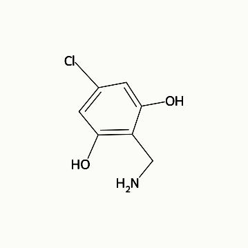 NCc1c(O)cc(Cl)cc1O